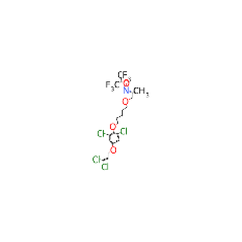 CC(COCCCCCOc1c(Cl)cc(OCC=C(Cl)Cl)cc1Cl)=NOC(C(F)(F)F)C(F)(F)F